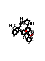 CC1=C(CCN)N(C2=CC3OC4=CCCC=C4C4(c5ccccc5Oc5cc(C6NC=CCN6)ccc54)C3C=C2)C2C=CC=CC12C